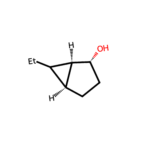 CCC1[C@H]2[C@H](O)CC[C@@H]12